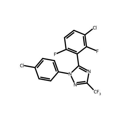 Fc1ccc(Cl)c(F)c1-c1nc(C(F)(F)F)nn1-c1ccc(Cl)cc1